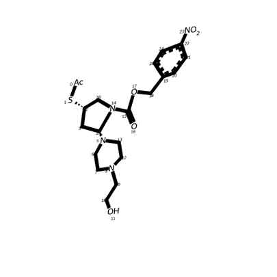 CC(=O)S[C@H]1C[C@@H](N2CCN(CCO)CC2)N(C(=O)OCc2ccc([N+](=O)[O-])cc2)C1